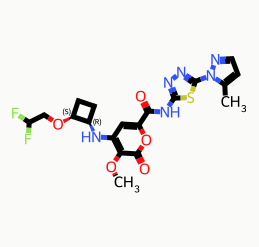 COc1c(N[C@@H]2CC[C@@H]2OCC(F)F)cc(C(=O)Nc2nnc(-n3nccc3C)s2)oc1=O